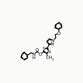 Cc1nc(-c2ccn(CCOc3ccccc3)n2)sc1OC(=O)NCc1ccccc1